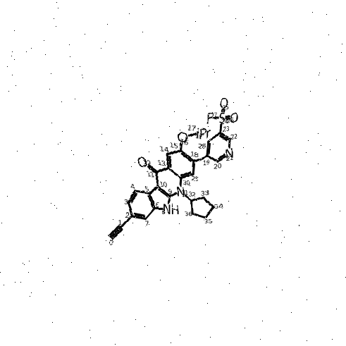 C#Cc1ccc2c(c1)[nH]c1c2c(=O)c2cc(OC(C)C)c(-c3cncc(S(=O)(=O)F)c3)cc2n1C1CCCC1